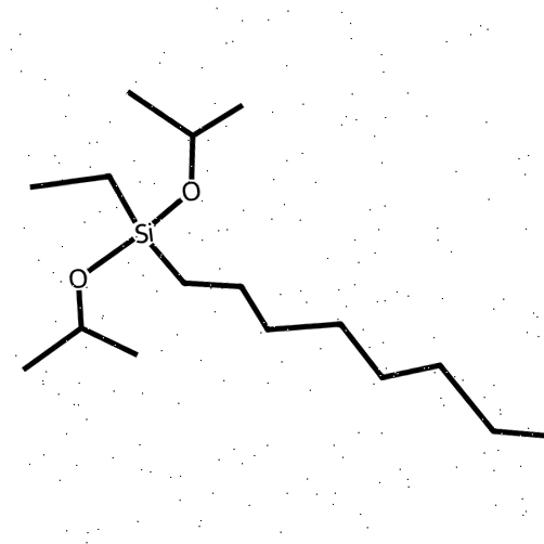 CCCCCCCC[Si](CC)(OC(C)C)OC(C)C